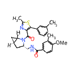 COc1ccc(C(=O)NC[C@@H]2C[C@H]3C[C@@H]3N2C(=O)c2nc(C)sc2-c2cccc(C)c2)cc1C